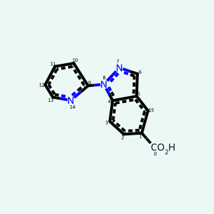 O=C(O)c1ccc2c(cnn2-c2ccccn2)c1